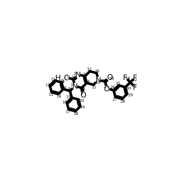 Cc1nc2c(c(=O)n1C(c1ccccc1)c1ccccc1)CN(C(=O)Oc1cccc(C(F)(F)F)c1)CC2